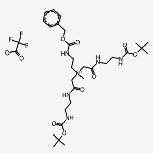 CC(C)(C)OC(=O)NCCNC(=O)C[N+](C)(CCNC(=O)OCc1ccccc1)CC(=O)NCCNC(=O)OC(C)(C)C.O=C([O-])C(F)(F)F